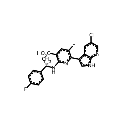 C[C@H](Nc1nc(-c2c[nH]c3ncc(Cl)cc23)c(F)cc1C(=O)O)c1ccc(F)cc1